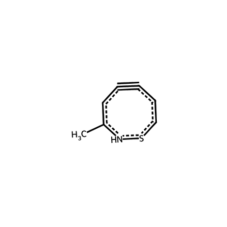 Cc1cc#cccs[nH]1